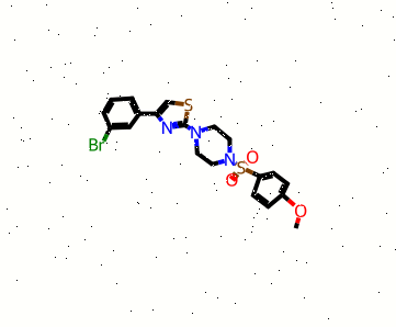 COc1ccc(S(=O)(=O)N2CCN(c3nc(-c4cccc(Br)c4)cs3)CC2)cc1